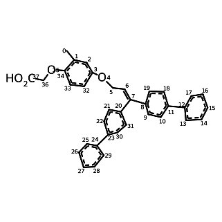 Cc1cc(OCC=C(c2ccc(-c3ccccc3)cc2)c2ccc(-c3ccccc3)cc2)ccc1OCC(=O)O